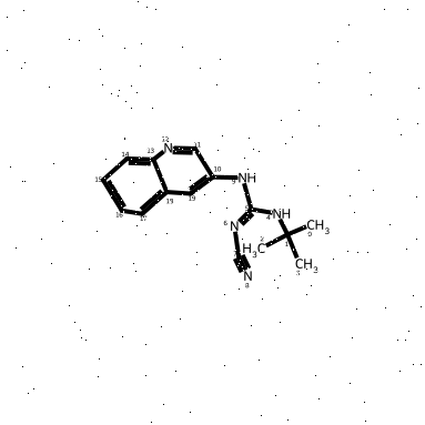 CC(C)(C)NC(=NC#N)Nc1cnc2ccccc2c1